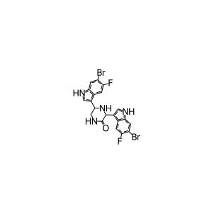 O=C1NCC(c2c[nH]c3cc(Br)c(F)cc23)NC1c1c[nH]c2cc(Br)c(F)cc12